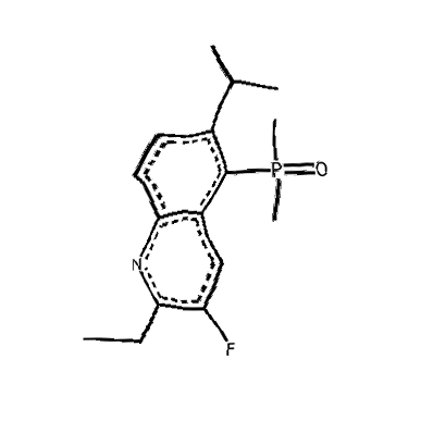 CCc1nc2ccc(C(C)C)c(P(C)(C)=O)c2cc1F